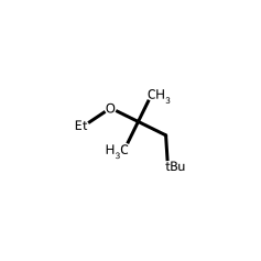 CCOC(C)(C)CC(C)(C)C